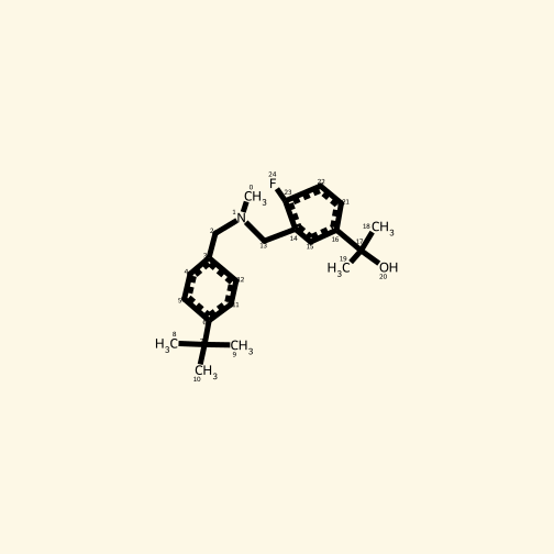 CN(Cc1ccc(C(C)(C)C)cc1)Cc1cc(C(C)(C)O)ccc1F